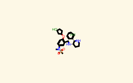 CN(c1ccc(OC2CCCC2)c(CN[C@H]2CCCN[C@H]2c2ccccc2)c1)S(C)(=O)=O.Cl.Cl